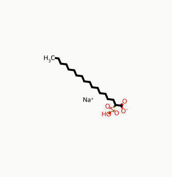 CCCCCCCCCCCCCCCCC(C(=O)[O-])S(=O)(=O)O.[Na+]